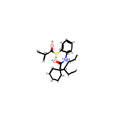 CCCC(CC)C1(C(=O)Nc2ccccc2SC(=O)C(C)C)CCCCC1